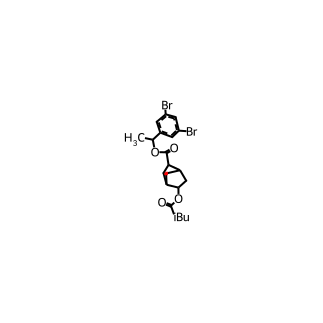 CCC(C)C(=O)OC1CC2CC1CC2C(=O)OC(C)c1cc(Br)cc(Br)c1